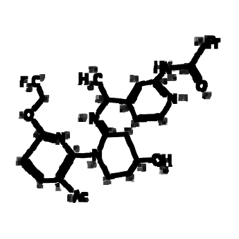 CC(=O)c1ccc(OCC(F)(F)F)nc1N1CCC(O)C/C1=N\C(C)c1ccnc(NC(=O)C(C)C)c1